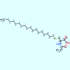 CCCCCCCCCCCCCCCCCCSC[C@H](NC(C)=O)C(=O)O